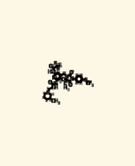 CC1CCCN(CCC(=O)Nc2cc(CN3C(=O)N(c4ccc(SC(F)(F)F)cc4)C(=O)C3(C)C)ccn2)C1.O=C(O)C(F)(F)F